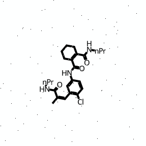 CCCNC(=O)C(C)=Cc1cc(NC(=O)C2=C(C(=O)NCCC)CCCC2)ccc1Cl